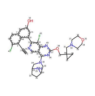 C#Cc1c(F)ccc2cc(O)cc(-c3ncc4c(N5CC6CCC(C5)N6)nc(OCC5(CN6CCOCC6)CC5)nc4c3F)c12